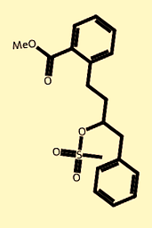 COC(=O)c1ccccc1CCC(Cc1ccccc1)OS(C)(=O)=O